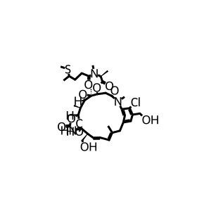 CSC(C)CCC(=O)N(C)[C@@H](C)C(=O)O[C@H]1CC(=O)N(C)c2cc(cc(CO)c2Cl)C/C(C)=C/C=C/[C@@H](CO)[C@@]2(O)C[C@H](OC(=O)N2)[C@@H](C)[C@@H]2O[C@@]12C